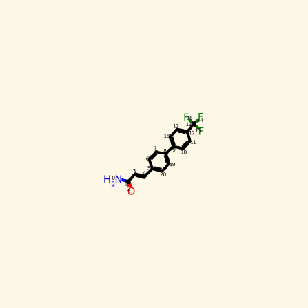 NC(=O)C=Cc1ccc(-c2ccc(C(F)(F)F)cc2)cc1